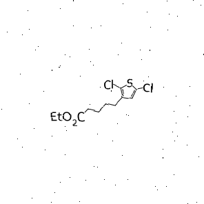 CCOC(=O)CCCCc1cc(Cl)sc1Cl